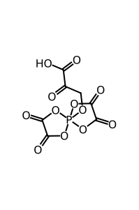 O=C(O)C(=O)COP12(OC(=O)C(=O)O1)OC(=O)C(=O)O2